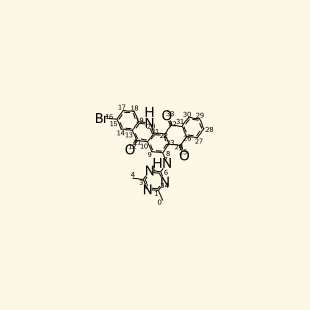 Cc1nc(C)nc(Nc2cc3c(=O)c4cc(Br)ccc4[nH]c3c3c2C(=O)c2ccccc2C3=O)n1